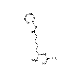 CC(=N)N[C@@H](CCCCNOc1ccccc1)C(=O)O